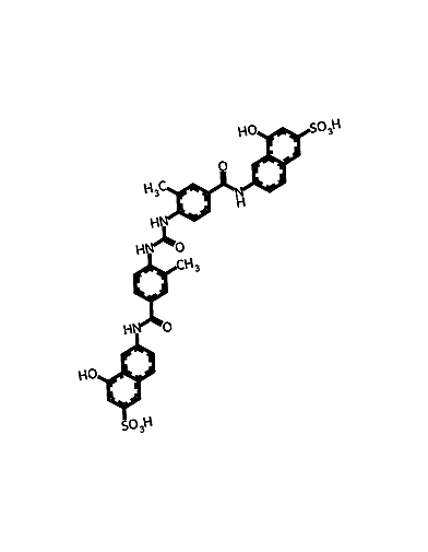 Cc1cc(C(=O)Nc2ccc3cc(S(=O)(=O)O)cc(O)c3c2)ccc1NC(=O)Nc1ccc(C(=O)Nc2ccc3cc(S(=O)(=O)O)cc(O)c3c2)cc1C